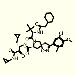 COc1cc(C)c(C2=NO[C@]3(C2)C[C@@H](C(=O)N[C@@H](CC2CC2)C(=O)C(=O)NC2CC2)N(C(=O)[C@@H](NC(=O)CC2CCCCC2)C(C)(C)C)C3)cc1Cl